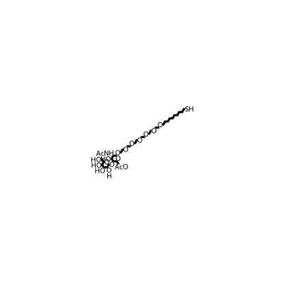 CC(=O)NC1C(OCCOCCOCCOCCOCCOCCOCCCCCCCCCCS)OC(COC(C)=O)C(OC2OC(CO)C(O)C(O)C2O)C1O